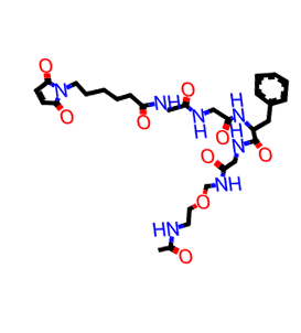 CC(=O)NCCOCNC(=O)CNC(=O)C(Cc1ccccc1)NC(=O)CNC(=O)CNC(=O)CCCCCN1C(=O)C=CC1=O